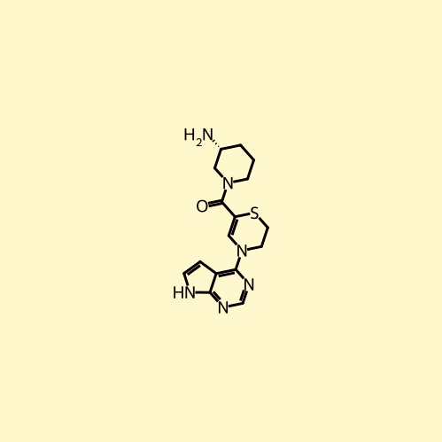 N[C@@H]1CCCN(C(=O)C2=CN(c3ncnc4[nH]ccc34)CCS2)C1